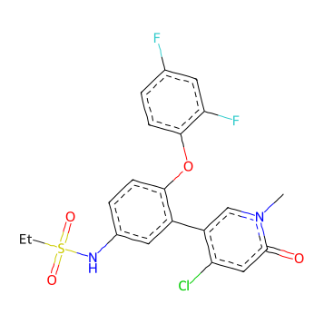 CCS(=O)(=O)Nc1ccc(Oc2ccc(F)cc2F)c(-c2cn(C)c(=O)cc2Cl)c1